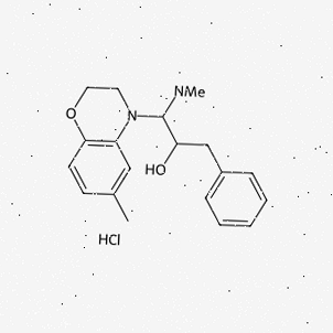 CNC(C(O)Cc1ccccc1)N1CCOc2ccc(C)cc21.Cl